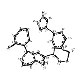 Fc1ccccc1-c1nccc2[nH]c(C3=NCCc4cnc(-c5cn[nH]c5)cc43)cc12